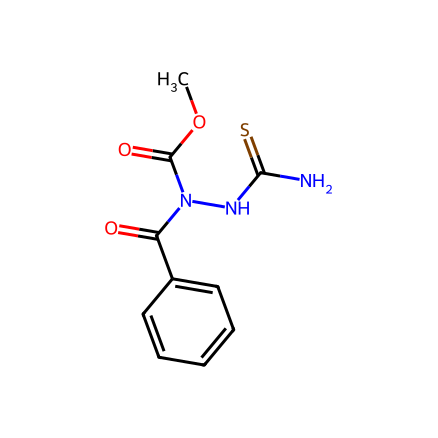 COC(=O)N(NC(N)=S)C(=O)c1ccccc1